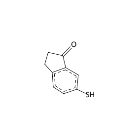 O=C1CCc2ccc(S)cc21